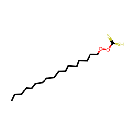 CCCCCCCCCCCCCCCCCOOC(=S)S